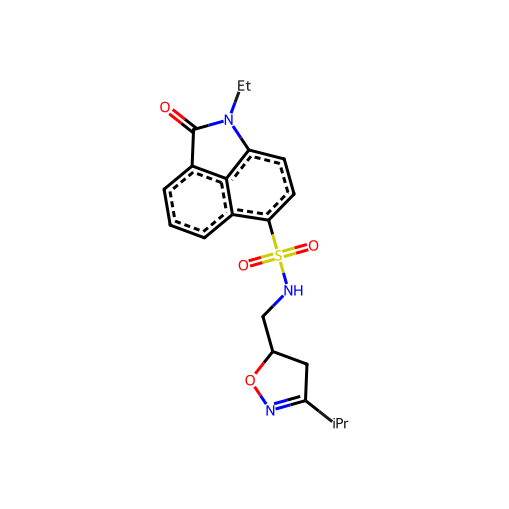 CCN1C(=O)c2cccc3c(S(=O)(=O)NCC4CC(C(C)C)=NO4)ccc1c23